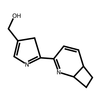 OCC1=CN=C(C2=NC3CCC3C=C2)C1